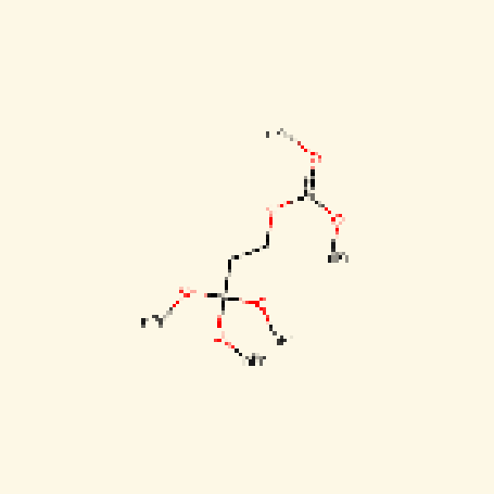 CCCO[SiH](OCCC)OCCC(OCCC)(OCCC)OCCC